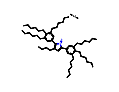 CCCCCCc1cc(C2=CC(CCCC)=C(c3cc(CCCCCC)c(CCCCCC)c(CCCCCC)c3)[N+]2=[N-])cc(CCCCCC)c1CCCCCC.[CH3][Pd][CH3]